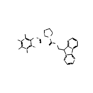 O=C(Oc1c(F)c(F)c(F)c(F)c1F)[C@@H]1CCCN1C(=O)OCC1c2ccccc2-c2ccccc21